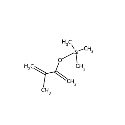 C=C(C)C(=C)O[Si](C)(C)C